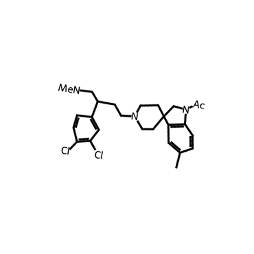 CNCC(CCN1CCC2(CC1)CN(C(C)=O)c1ccc(C)cc12)c1ccc(Cl)c(Cl)c1